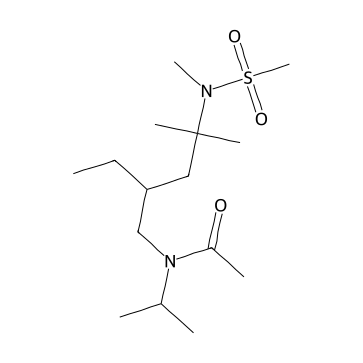 CCC(CN(C(C)=O)C(C)C)CC(C)(C)N(C)S(C)(=O)=O